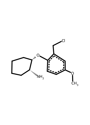 COc1ccc(O[C@H]2CCCC[C@H]2N)c(CCl)c1